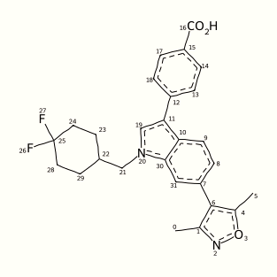 Cc1noc(C)c1-c1ccc2c(-c3ccc(C(=O)O)cc3)cn(CC3CCC(F)(F)CC3)c2c1